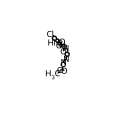 CCOC(=O)C1CCN(C=Nc2ccc(CN3CCN(S(=O)(=O)c4cc5cc(Cl)ccc5[nH]4)CC3=O)cc2)CC1